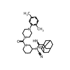 Cc1ccc(C)c(N2CCN(C(=O)N3CCCC(N(C#N)C(=N)C45CC6CC(C4)C(O)C(C6)C5)C3)CC2)c1